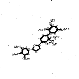 CCCS(=O)(=O)C1(OC)C=C([C@H]2CC[C@H](c3cc(OC)c(OC)c(OC)c3)O2)C=CC1c1cc(OC)cc(OCC)c1SC